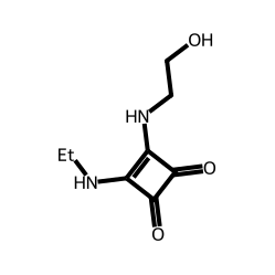 CCNc1c(NCCO)c(=O)c1=O